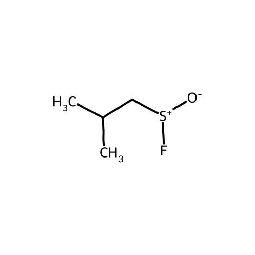 CC(C)C[S+]([O-])F